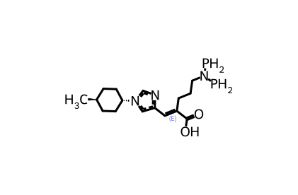 C[C@H]1CC[C@H](n2cnc(/C=C(\CCCN(P)P)C(=O)O)c2)CC1